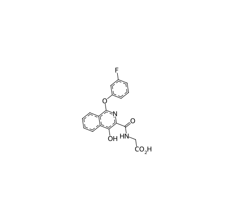 O=C(O)CNC(=O)c1nc(Oc2cccc(F)c2)c2ccccc2c1O